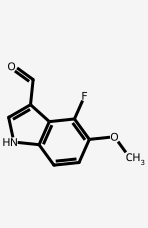 COc1ccc2[nH]cc(C=O)c2c1F